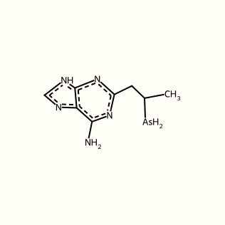 CC([AsH2])Cc1nc(N)c2nc[nH]c2n1